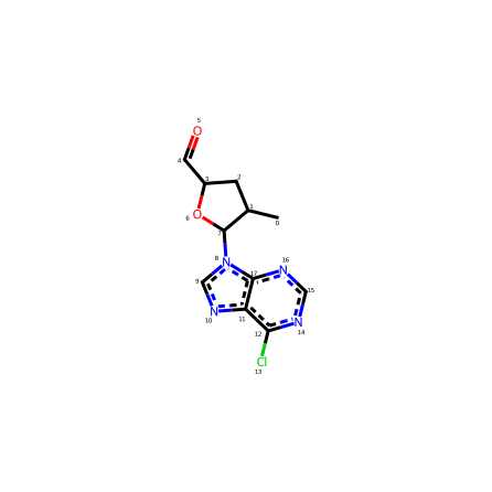 CC1CC(C=O)OC1n1cnc2c(Cl)ncnc21